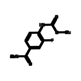 CNC(=O)c1ccc(NC(=O)OC(C)(C)C)c(F)c1